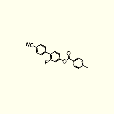 Cc1ccc(C(=O)Oc2ccc(-c3ccc(C#N)cc3)c(F)c2)cc1